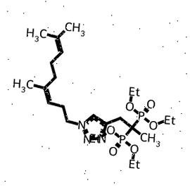 CCOP(=O)(OCC)C(C)(Cc1cn(CCC=C(C)CCC=C(C)C)nn1)P(=O)(OCC)OCC